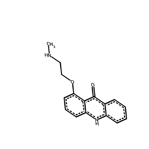 CNCCOc1cccc2[nH]c3ccccc3c(=O)c12